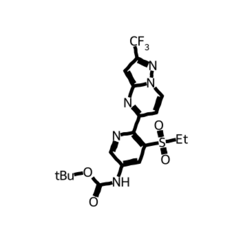 CCS(=O)(=O)c1cc(NC(=O)OC(C)(C)C)cnc1-c1ccn2nc(C(F)(F)F)cc2n1